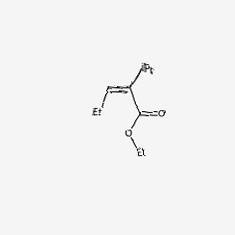 CCC=C(C(=O)OCC)C(C)C